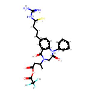 CC(CC(=O)OC(=O)C(F)(F)F)N1CC(=O)N(c2ccccc2)c2ccc(CCCC(S)NC(=N)N)cc2C1=O